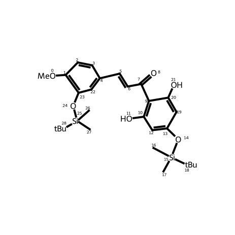 COc1ccc(C=CC(=O)c2c(O)cc(O[Si](C)(C)C(C)(C)C)cc2O)cc1O[Si](C)(C)C(C)(C)C